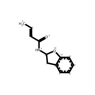 CC=CC(=O)NC1Cc2ccccc2O1